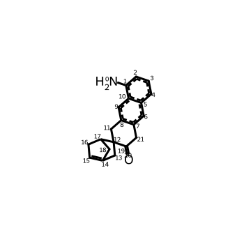 Nc1cccc2cc3c(cc12)CC1(CC2=CCC1C2)C(=O)C3